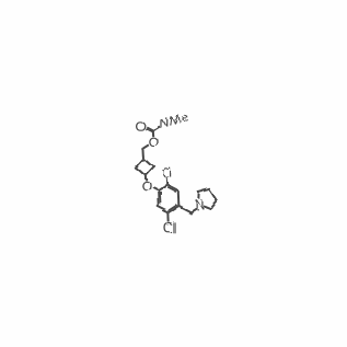 CNC(=O)OCC1CC(Oc2cc(Cl)c(CN3CCCC3)cc2Cl)C1